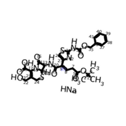 CC(C)(C)OC(=O)C/C=C(/C(=O)N[C@@H]1C(=O)N2C(C(=O)O)=C(CO)CS[C@H]12)c1csc(NC(=O)OCc2ccccc2)n1.[NaH]